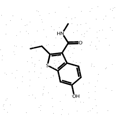 CCc1sc2cc(O)ccc2c1C(=O)NC